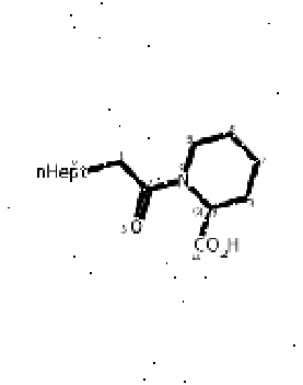 CCCCCCCCC(=O)N1CCCC[C@H]1C(=O)O